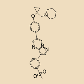 CS(=O)(=O)c1cccc(-c2cnn3cc(-c4ccc(OC5(CN6CCCCC6)CC5)cc4)cnc23)c1